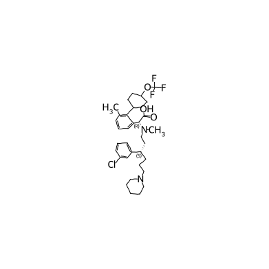 Cc1cccc([C@H](C(=O)O)N(C)CC[C@H](CCCN2CCCCC2)c2cccc(Cl)c2)c1C1CCC(OC(F)(F)F)CC1